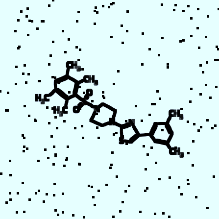 Cc1cc(C)cc(-c2csc(N3CCN(S(=O)(=O)c4c(C)c(C)cc(C)c4C)CC3)n2)c1